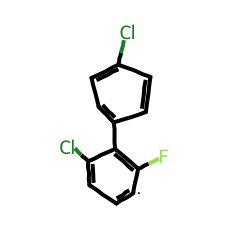 Fc1[c]ccc(Cl)c1-c1ccc(Cl)cc1